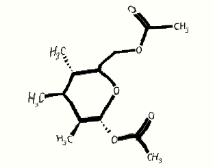 CC(=O)OCC1O[C@H](OC(C)=O)[C@@H](C)C(C)[C@@H]1C